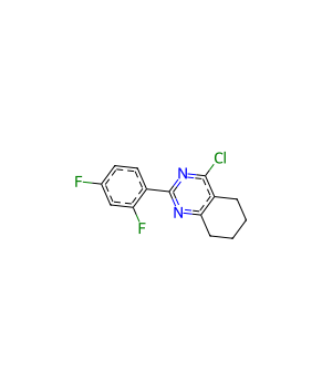 Fc1ccc(-c2nc(Cl)c3c(n2)CCCC3)c(F)c1